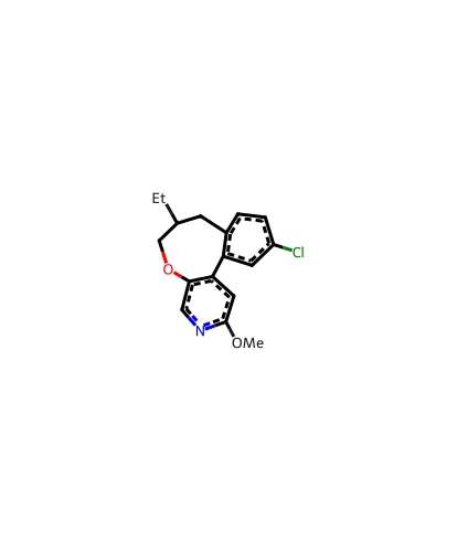 CCC1COc2cnc(OC)cc2-c2cc(Cl)ccc2C1